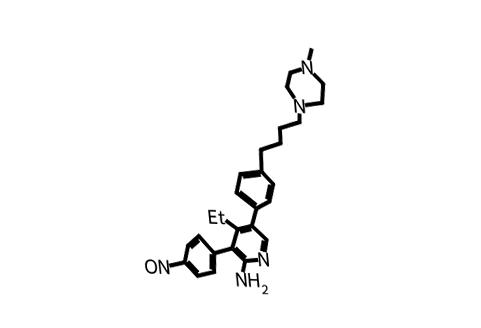 CCc1c(-c2ccc(CCCCN3CCN(C)CC3)cc2)cnc(N)c1-c1ccc(N=O)cc1